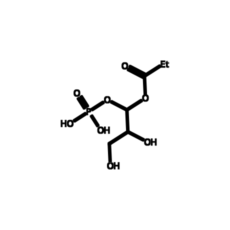 CCC(=O)OC(OP(=O)(O)O)C(O)CO